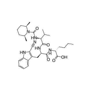 CCCC[C@@H](NC(=O)[C@@H](Cc1c(C#N)[nH]c2ccccc12)NC(=O)[C@@H](NC(=O)N1[C@H](C)CCC[C@@H]1C)C(C)C)C(=O)O